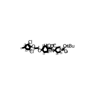 Cc1cc(Cl)c(OCCOc2ccc(C(=O)NC3CCN(C(=O)OC(C)(C)C)CC3C(=O)O)cc2)c(Cl)c1